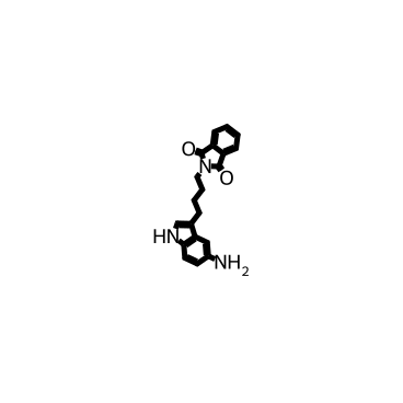 Nc1ccc2[nH]cc(CCCCN3C(=O)c4ccccc4C3=O)c2c1